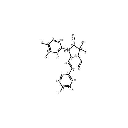 Cc1ncc(-c2ccc3c(c2)N(c2ccc(C)c(C)n2)C(=O)C3(C)C)cn1